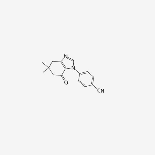 CC1(C)CC(=O)c2c(ncn2-c2ccc(C#N)cc2)C1